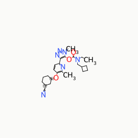 CCN(CC1CCC1)C(=O)Oc1c(-c2ccc(O[C@H]3CCC[C@H](C#N)C3)c(C)n2)nnn1C